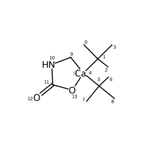 C[C](C)(C)[Ca]1([C](C)(C)C)[CH2]NC(=O)[O]1